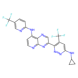 FC(F)(F)c1ccc(Nc2ccnc3nc(-c4nnc(NC5CC5)cc4C(F)(F)F)cnc23)nc1